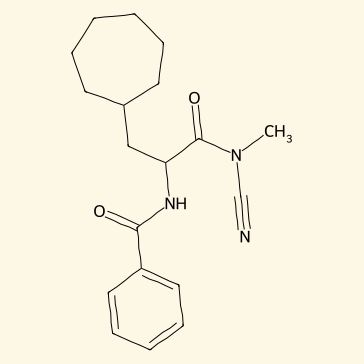 CN(C#N)C(=O)C(CC1CCCCCC1)NC(=O)c1ccccc1